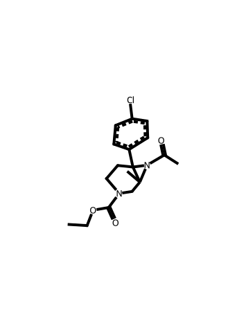 CCOC(=O)N1CCC2(c3ccc(Cl)cc3)N(C(C)=O)C2(C)C1